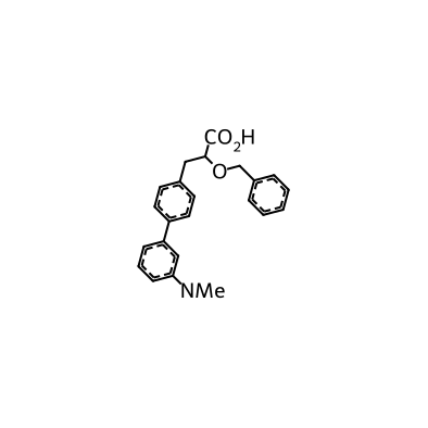 CNc1cccc(-c2ccc(CC(OCc3ccccc3)C(=O)O)cc2)c1